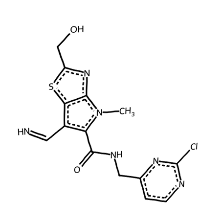 Cn1c(C(=O)NCc2ccnc(Cl)n2)c(C=N)c2sc(CO)nc21